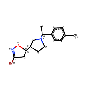 C[C@@H](c1ccc(C(F)(F)F)cc1)N1CC[C@@H]([C@H]2CC(Br)=NO2)C1